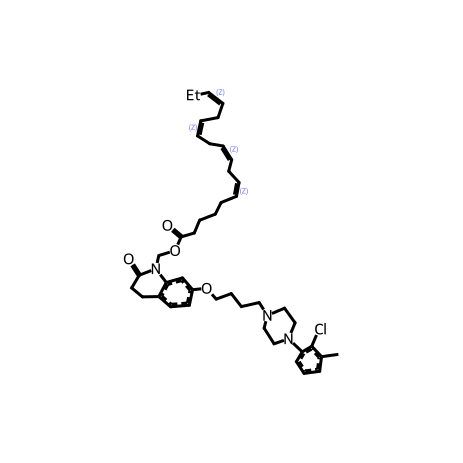 CC/C=C\C/C=C\C/C=C\C/C=C\CCCCC(=O)OCN1C(=O)CCc2ccc(OCCCCN3CCN(c4cccc(C)c4Cl)CC3)cc21